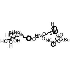 CCCCCCN(CCc1ccc(OCCNC(=O)OCCSC23CC4C[C@H](C2)CC(N(CC(=O)N2CCC[C@H]2C#N)C(=O)OC(C)(C)C)(C4)C3)cc1)C[C@H](O)[C@@H](O)[C@H](O)[C@H](O)CO